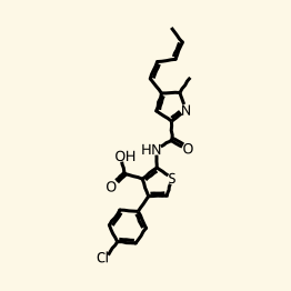 C/C=C\C=C/C1=CC(C(=O)Nc2scc(-c3ccc(Cl)cc3)c2C(=O)O)=NC1C